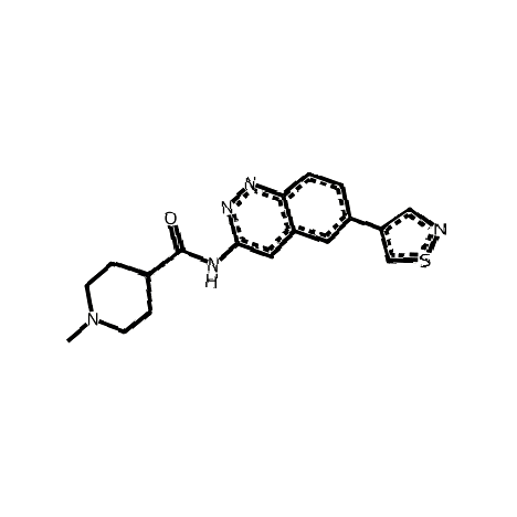 CN1CCC(C(=O)Nc2cc3cc(-c4cnsc4)ccc3nn2)CC1